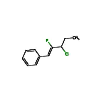 CCC(Cl)/C(F)=C/c1ccccc1